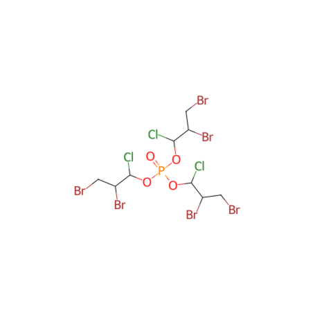 O=P(OC(Cl)C(Br)CBr)(OC(Cl)C(Br)CBr)OC(Cl)C(Br)CBr